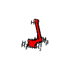 CCN/C(=C\C(C)=N)C(=O)/N=c1\[nH]c2cc(C(N)=O)cc(OCCCN3CCN(C(=O)OCc4ccc(NC(=O)[C@H](C)NC(=O)[C@@H](NC(=O)CCOCCOCCOCCOCCOCCOCCOCCOCCOCCOCCNC(=O)CN5C(=O)C=CC5=O)C(C)C)cc4)CC3)c2n1C/C=C/Cn1/c(=N/C(=O)c2cc(C)nn2CC)[nH]c2cc(C(N)=O)cc(OC)c21